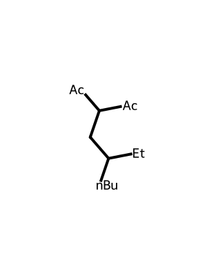 CCCCC(CC)CC(C(C)=O)C(C)=O